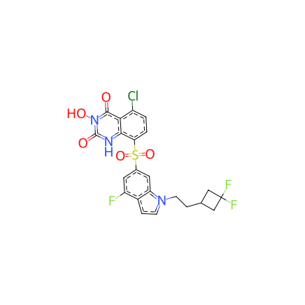 O=c1[nH]c2c(S(=O)(=O)c3cc(F)c4ccn(CCC5CC(F)(F)C5)c4c3)ccc(Cl)c2c(=O)n1O